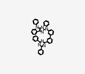 c1ccc(-c2nc(-c3ccccc3)nc(-c3cccc(-c4cccc(-n5c6ccccc6n6c5nc5c7ccccc7n(-c7ccccc7)c56)c4)c3)n2)cc1